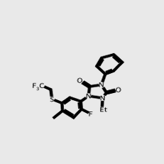 CCn1c(=O)n(-c2ccccc2)c(=O)n1-c1cc(SCC(F)(F)F)c(C)cc1F